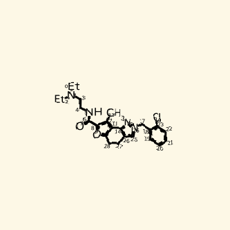 CCN(CC)CCNC(=O)c1oc2c(c1C)-c1nn(Cc3ccccc3Cl)cc1CC2